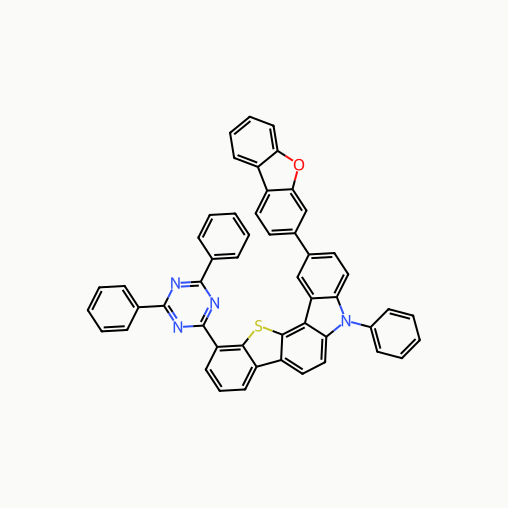 c1ccc(-c2nc(-c3ccccc3)nc(-c3cccc4c3sc3c4ccc4c3c3cc(-c5ccc6c(c5)oc5ccccc56)ccc3n4-c3ccccc3)n2)cc1